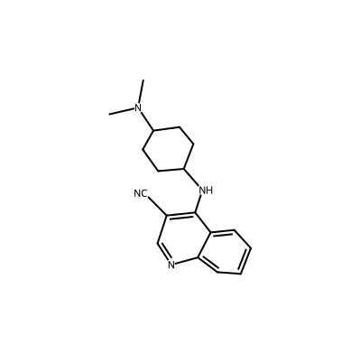 CN(C)C1CCC(Nc2c(C#N)cnc3ccccc23)CC1